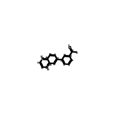 CC(=O)c1cccc(-c2ccc3nccnc3c2)c1